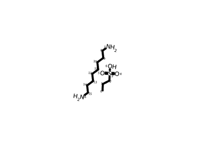 CCCS(=O)(=O)O.NCCCCCCCCN